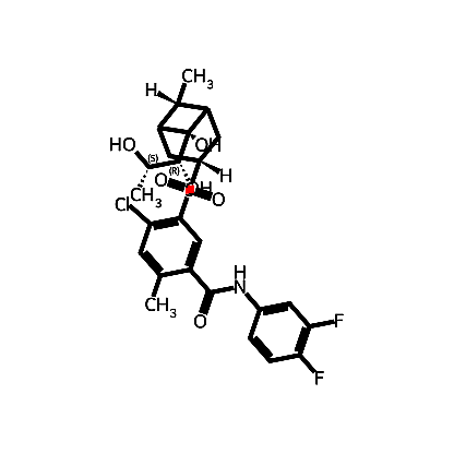 Cc1cc(Cl)c(S(=O)(=O)[C@H]2CC3[C@@H](C)C(C2)[C@]3(O)[C@H](O)[C@H](C)O)cc1C(=O)Nc1ccc(F)c(F)c1